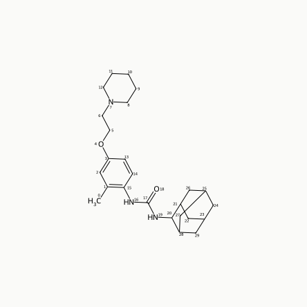 Cc1cc(OCCN2CCCCC2)ccc1NC(=O)NC1C2CC3CC(C2)CC1C3